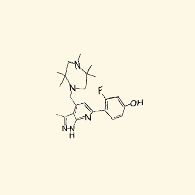 Cc1n[nH]c2nc(-c3ccc(O)cc3F)cc(CN3CC(C)(C)N(C)CC3(C)C)c12